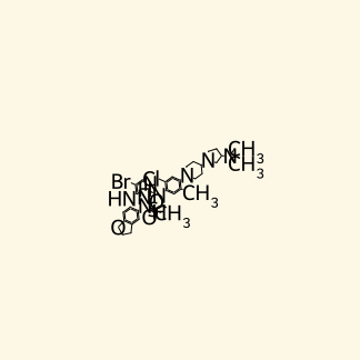 Cc1cc(Nc2ncc(Br)c(Nc3cc4c(cc3NS(C)(=O)=O)CCO4)n2)c(Cl)cc1N1CCC(N2CCC(N(C)C)C2)CC1